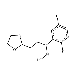 Fc1ccc(F)c(C(CCC2OCCO2)NS)c1